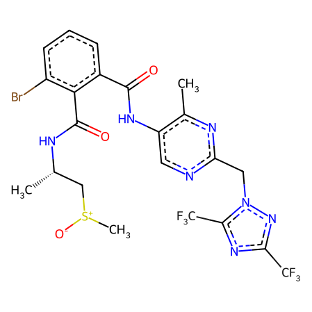 Cc1nc(Cn2nc(C(F)(F)F)nc2C(F)(F)F)ncc1NC(=O)c1cccc(Br)c1C(=O)N[C@@H](C)C[S+](C)[O-]